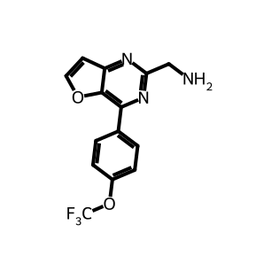 NCc1nc(-c2ccc(OC(F)(F)F)cc2)c2occc2n1